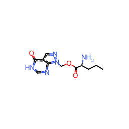 CCCC(N)C(=O)OCn1ncc2c(=O)[nH]cnc21